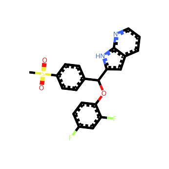 CS(=O)(=O)c1ccc(C(Oc2ccc(F)cc2F)c2cc3cccnc3[nH]2)cc1